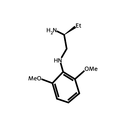 CC[C@H](N)CNc1c(OC)cccc1OC